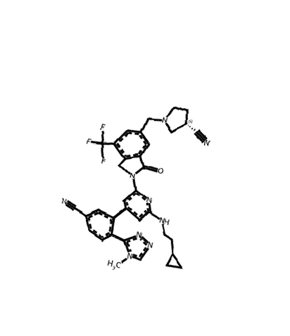 Cn1cnnc1-c1ccc(C#N)cc1-c1cc(NCCC2CC2)nc(N2Cc3c(cc(CN4CC[C@H](C#N)C4)cc3C(F)(F)F)C2=O)c1